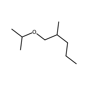 CCCC(C)COC(C)C